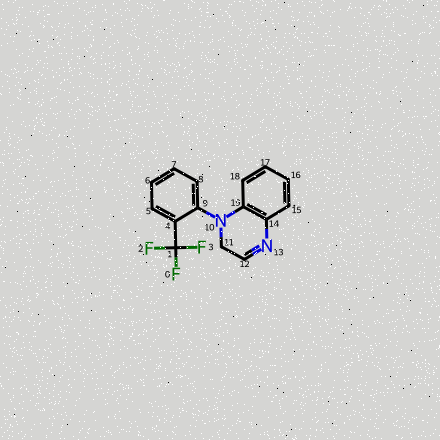 FC(F)(F)c1ccccc1N1CC=Nc2[c]cccc21